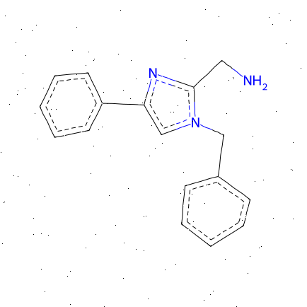 NCc1nc(-c2ccccc2)cn1Cc1ccccc1